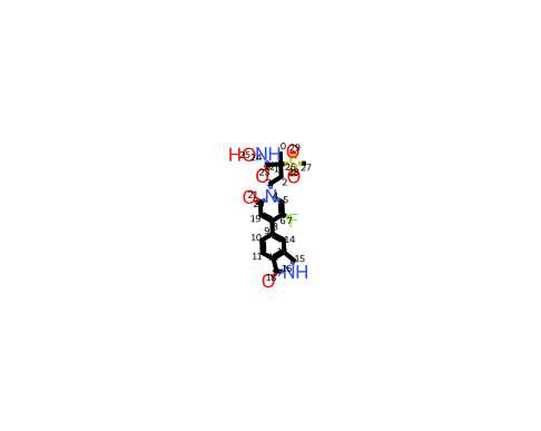 CC(CCn1cc(F)c(-c2ccc3c(c2)CNC3=O)cc1=O)(C(=O)NO)S(C)(=O)=O